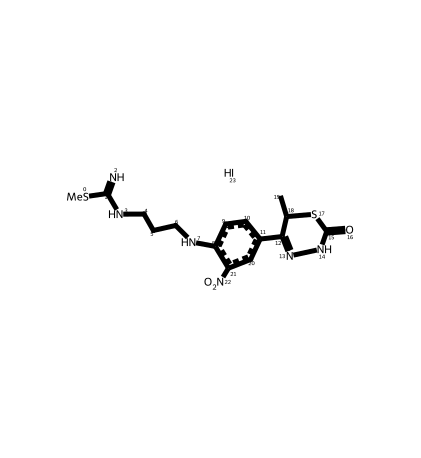 CSC(=N)NCCCNc1ccc(C2=NNC(=O)SC2C)cc1[N+](=O)[O-].I